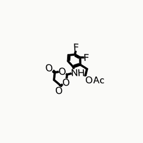 CC(=O)OCCc1c(NC2OC(=O)CC(=O)O2)ccc(F)c1F